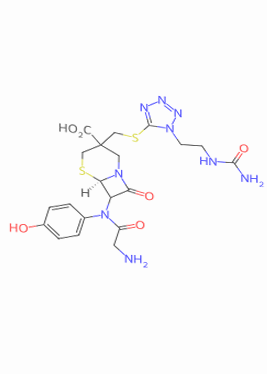 NCC(=O)N(c1ccc(O)cc1)C1C(=O)N2CC(CSc3nnnn3CCNC(N)=O)(C(=O)O)CS[C@H]12